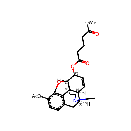 COC(=O)CCCC(=O)O[C@H]1C=C[C@H]2[C@H]3Cc4ccc(OC(C)=O)c5c4[C@@]2(CCN3C)[C@H]1O5